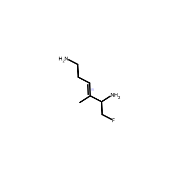 C/C(=C\CCN)C(N)CF